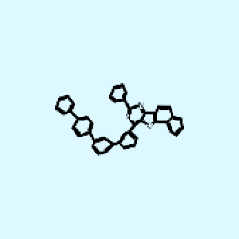 c1ccc(-c2ccc(-c3cccc(-c4cccc(-c5nc(-c6ccccc6)nc6c5oc5c7ccccc7ccc65)c4)c3)cc2)cc1